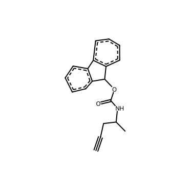 C#CCC(C)NC(=O)OC1c2ccccc2-c2ccccc21